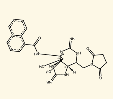 N=C1N[C@H]2C(CN3C(=O)CCC3=O)NC(=N)N3CC(NC(=O)c4cccc5ccccc45)C(O)(O)[C@]23N1